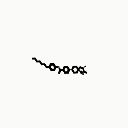 CCCCCCCc1ccc(OC(=O)c2ccc([C@H]3CC[C@@](C#N)(C[C@H](C)CC)CC3)cc2)cc1